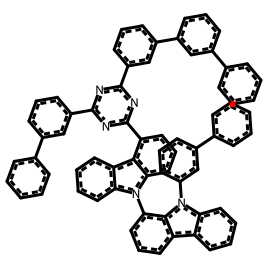 c1ccc(-c2cccc(-c3cccc(-c4nc(-c5cccc(-c6ccccc6)c5)nc(-c5cccc6c5c5ccccc5n6-c5cccc6c7ccccc7n(-c7cccc(-c8ccccc8)c7)c56)n4)c3)c2)cc1